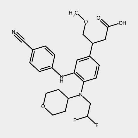 COCC(CC(=O)O)c1ccc(N(CC(F)F)C2CCOCC2)c(Nc2ccc(C#N)cc2)c1